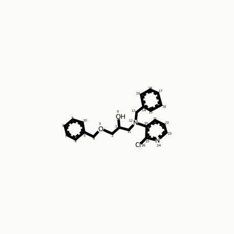 OC(COCc1ccccc1)CN(Cc1ccccc1)c1cccnc1Cl